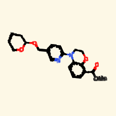 COC(=O)c1cccc2c1OCCN2c1ccc(COC2CCCCO2)cn1